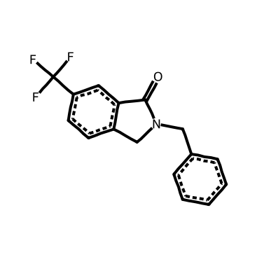 O=C1c2cc(C(F)(F)F)ccc2CN1Cc1ccccc1